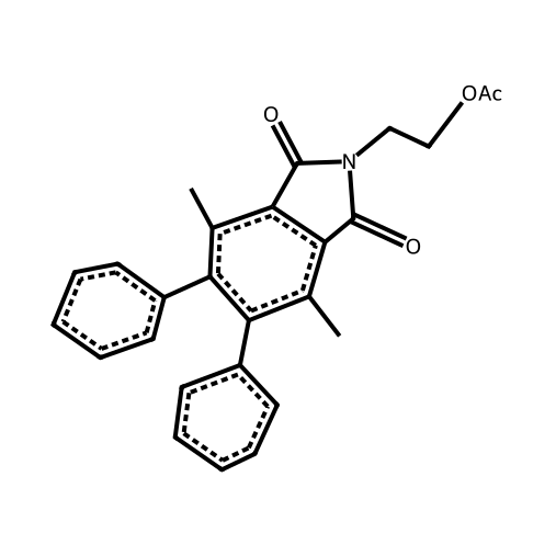 CC(=O)OCCN1C(=O)c2c(C)c(-c3ccccc3)c(-c3ccccc3)c(C)c2C1=O